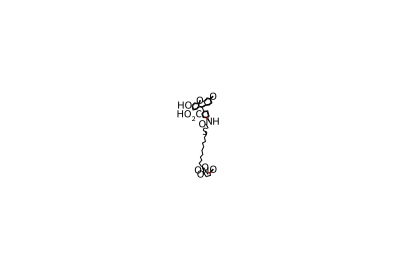 O=C(CSCCCCCCCCCCC(=O)ON1C(=O)CCC1=O)Nc1ccc(-c2c3ccc(=O)cc-3oc3cc(O)ccc23)c(C(=O)O)c1